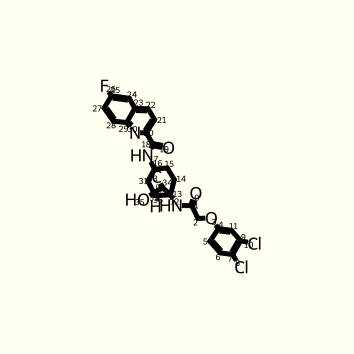 O=C(COc1ccc(Cl)c(Cl)c1)NC12CCC(NC(=O)c3ccc4cc(F)ccc4n3)(CC1)C[C@@H]2O